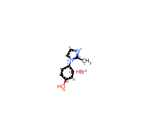 Br.Cc1nccn1-c1ccc(O)cc1